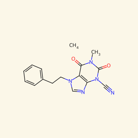 C.Cn1c(=O)c2c(ncn2CCc2ccccc2)n(C#N)c1=O